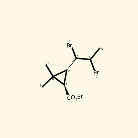 CCOC(=O)[C@@H]1[C@@H](C(Br)C(C)Br)C1(C)C